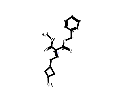 CC1CC(C/C=C(\C(=O)ON)C(=O)OCc2ccccc2)C1